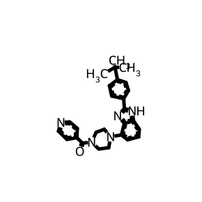 CC(C)(C)c1ccc(-c2nc3c(N4CCN(C(=O)c5ccncc5)CC4)cccc3[nH]2)cc1